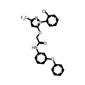 O=C(COc1cc(C(F)(F)F)nn1-c1ccccc1Cl)Nc1cccc(Oc2ccccc2)c1